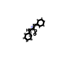 [O]O/C(=N\C1CCCCC1)NC1CCCCC1